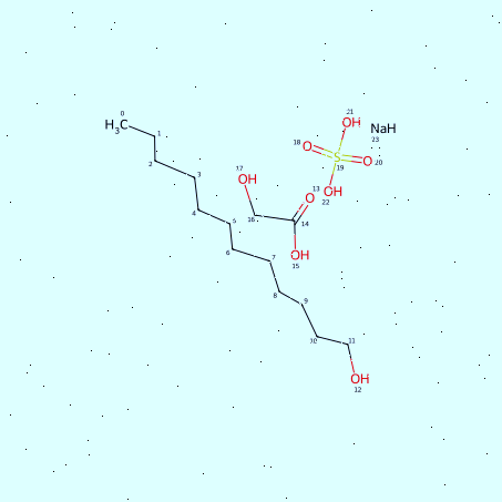 CCCCCCCCCCCCO.O=C(O)CO.O=S(=O)(O)O.[NaH]